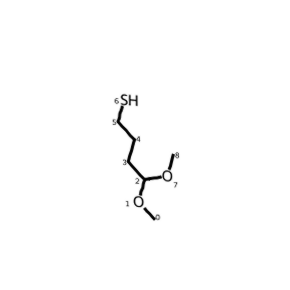 CO[C](CCCS)OC